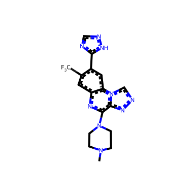 CN1CCN(c2nc3cc(C(F)(F)F)c(-c4ncn[nH]4)cc3n3cnnc23)CC1